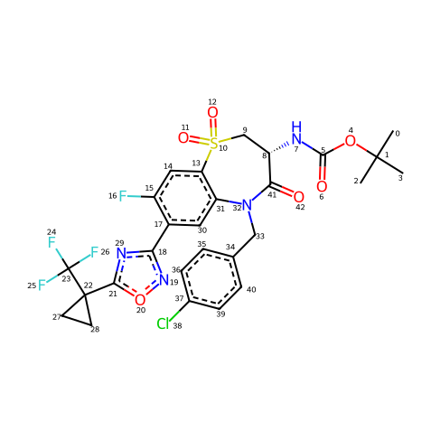 CC(C)(C)OC(=O)N[C@H]1CS(=O)(=O)c2cc(F)c(-c3noc(C4(C(F)(F)F)CC4)n3)cc2N(Cc2ccc(Cl)cc2)C1=O